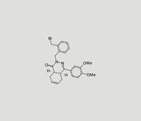 COc1ccc(C2=NN(Cc3ccccc3CBr)C(=O)[C@@H]3CC=CC[C@H]23)cc1OC